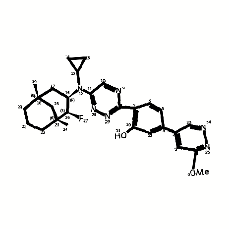 COc1cc(-c2ccc(-c3ncc(N(C4CC4)[C@@H]4C[C@@]5(C)CCC[C@](C)(C5)[C@@H]4F)nn3)c(O)c2)cnn1